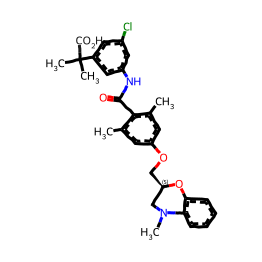 Cc1cc(OC[C@@H]2CN(C)c3ccccc3O2)cc(C)c1C(=O)Nc1cc(Cl)cc(C(C)(C)C(=O)O)c1